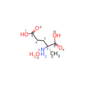 C[C@](N)(CCC(=O)O)C(=O)O.O